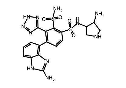 Nc1nc2c(-c3ccc(S(=O)(=O)NC4CNCC4N)c(S(N)(=O)=O)c3-c3nn[nH]n3)cccc2[nH]1